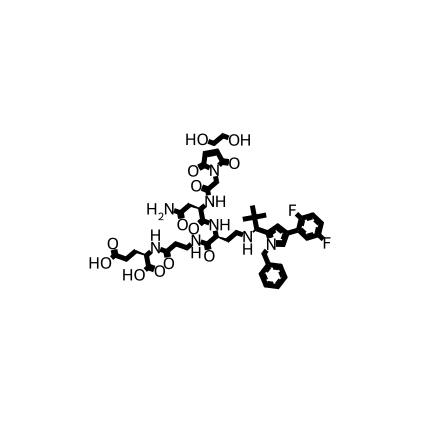 CC(C)(C)[C@@H](NCC[C@H](NC(=O)[C@@H](CC(N)=O)NC(=O)CN1C(=O)C=CC1=O)C(=O)NCCC(=O)N[C@H](CCC(=O)O)C(=O)O)c1cc(-c2cc(F)ccc2F)cn1Cc1ccccc1.OCCO